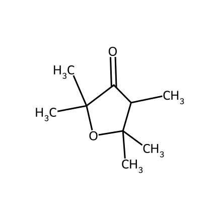 CC1C(=O)C(C)(C)OC1(C)C